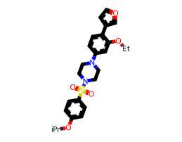 CCOc1cc(N2CCN(S(=O)(=O)c3ccc(OC(C)C)cc3)CC2)ccc1-c1ccoc1